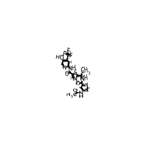 CC(=O)Nc1cc(C(=O)NC(C)c2ncc(C(=O)Nc3cc(C(F)(F)F)c(O)cn3)s2)ncn1